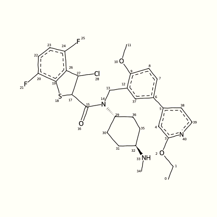 CCOc1cc(-c2ccc(OC)c(CN(C(=O)C3Sc4c(F)ccc(F)c4C3Cl)[C@H]3CC[C@H](NC)CC3)c2)ccn1